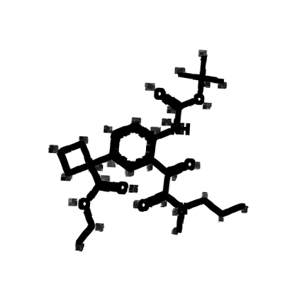 CCCN(C)C(=O)C(=O)c1cc(C2(C(=O)OCC)CCC2)ccc1NC(=O)OC(C)(C)C